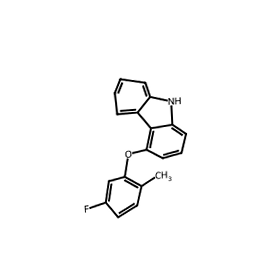 Cc1ccc(F)cc1Oc1cccc2[nH]c3ccccc3c12